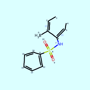 BC(=C/C)/C(=C\C)NS(=O)(=O)c1ccccc1